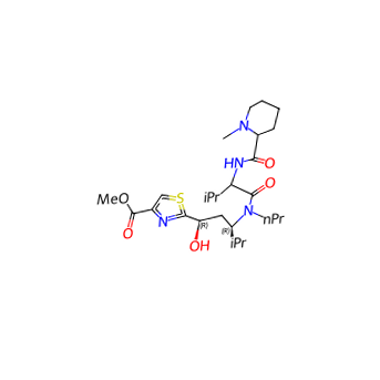 CCCN(C(=O)C(NC(=O)C1CCCCN1C)C(C)C)[C@H](C[C@@H](O)c1nc(C(=O)OC)cs1)C(C)C